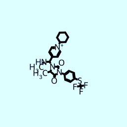 CNC(c1cc[n+](C2CCCCC2)cc1)N1C(=O)N(c2ccc(SC(F)(F)F)cc2)C(=O)C1C